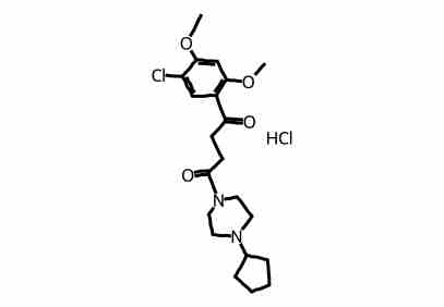 COc1cc(OC)c(C(=O)CCC(=O)N2CCN(C3CCCC3)CC2)cc1Cl.Cl